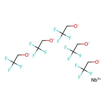 [Nb+5].[O-]CC(F)(F)F.[O-]CC(F)(F)F.[O-]CC(F)(F)F.[O-]CC(F)(F)F.[O-]CC(F)(F)F